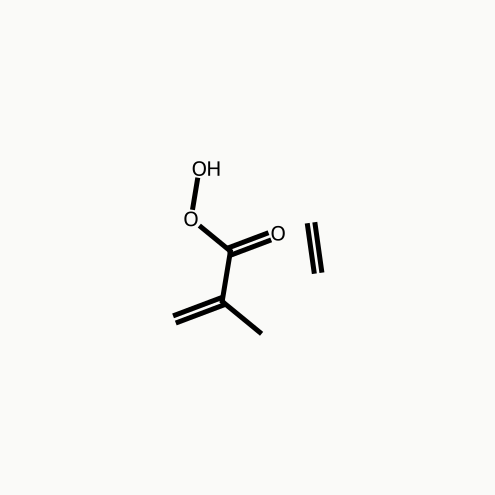 C=C.C=C(C)C(=O)OO